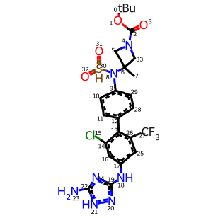 CC(C)(C)OC(=O)N1CC(C)(N(c2ccc(-c3c(Cl)cc(Nc4n[nH]c(N)n4)cc3C(F)(F)F)cc2)[SH](=O)=O)C1